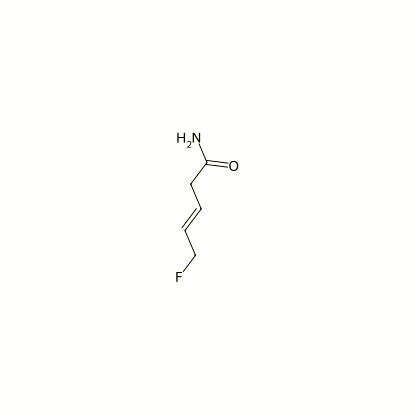 NC(=O)CC=CCF